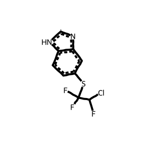 FC(Cl)C(F)(F)Sc1ccc2[nH][c]nc2c1